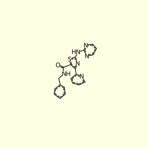 O=C(NCc1ccccc1)c1sc(Nc2ncccn2)nc1-c1ccccn1